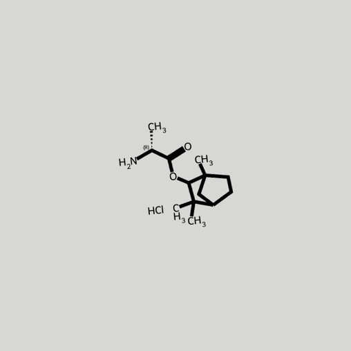 C[C@@H](N)C(=O)OC1C2(C)CCC(C2)C1(C)C.Cl